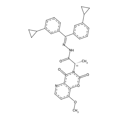 COc1ccnc2c(=O)n([C@@H](C)C(=O)NN=C(c3cccc(C4CC4)c3)c3cccc(C4CC4)c3)c(=O)oc12